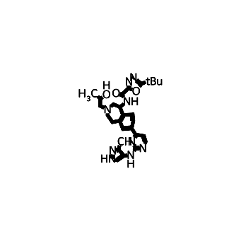 Cc1n[nH]cc1Nc1nccc(-c2ccc3c(c2)CCN(CC(C)O)CC3NC(=O)c2nnc(C(C)(C)C)o2)n1